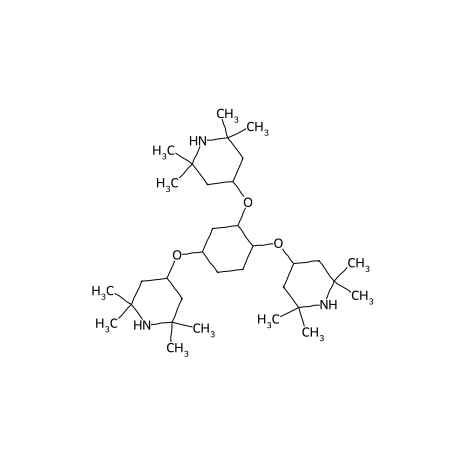 CC1(C)CC(OC2CCC(OC3CC(C)(C)NC(C)(C)C3)C(OC3CC(C)(C)NC(C)(C)C3)C2)CC(C)(C)N1